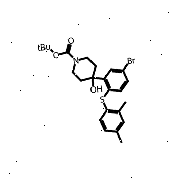 Cc1ccc(Sc2ccc(Br)cc2C2(O)CCN(C(=O)OC(C)(C)C)CC2)c(C)c1